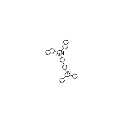 c1ccc(-c2cc(-c3ccccc3)nc(-c3ccc(-c4ccc(-c5nc(-c6ccc7ccccc7c6)cc(-c6ccc7ccccc7c6)n5)cc4)cc3)c2)cc1